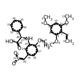 C=Cc1c(OC)cc(OC)cc1OC.COc1ccc(C=S(=O)=O)cc1N[C@@H](C(=O)O)c1ccccc1